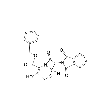 O=C(OCc1ccccc1)C1=C(O)CS[C@@H]2C(N3C(=O)c4ccccc4C3=O)C(=O)N12